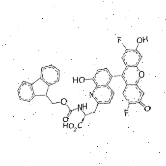 O=C(N[C@@H](Cc1ccc2c(-c3c4cc(F)c(=O)cc-4oc4cc(O)c(F)cc34)ccc(O)c2n1)C(=O)O)OCC1c2ccccc2-c2ccccc21